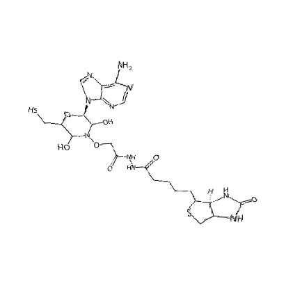 Nc1ncnc2c1ncn2[C@@H]1OC(CS)C(O)N(OCC(=O)NNC(=O)CCCCC2SCC3NC(=O)N[C@@H]32)C1O